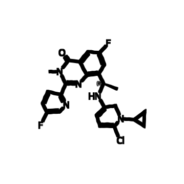 C[C@@H](NC1=CC=C(Cl)N(C2CC2)C1)c1cc(F)cc2c(=O)n(C)c(-c3ccc(F)cn3)nc12